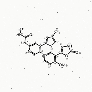 CCNC(=O)Nc1cc(-c2nc(C(F)(F)F)cs2)c(-c2cnc(OC)c(-c3n[nH]c(=O)o3)c2)cn1